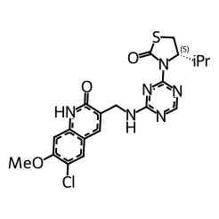 COc1cc2[nH]c(=O)c(CNc3ncnc(N4C(=O)SC[C@@H]4C(C)C)n3)cc2cc1Cl